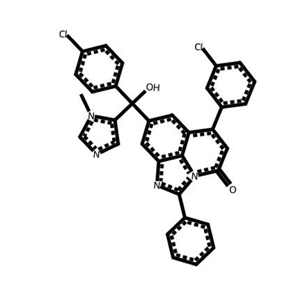 Cn1cncc1C(O)(c1ccc(Cl)cc1)c1cc2nc(-c3ccccc3)n3c(=O)cc(-c4cccc(Cl)c4)c(c1)c23